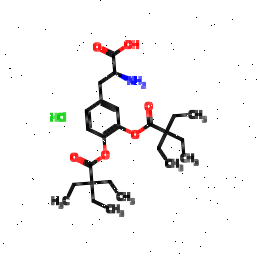 CCC(CC)(CC)C(=O)Oc1ccc(C[C@H](N)C(=O)O)cc1OC(=O)C(CC)(CC)CC.Cl